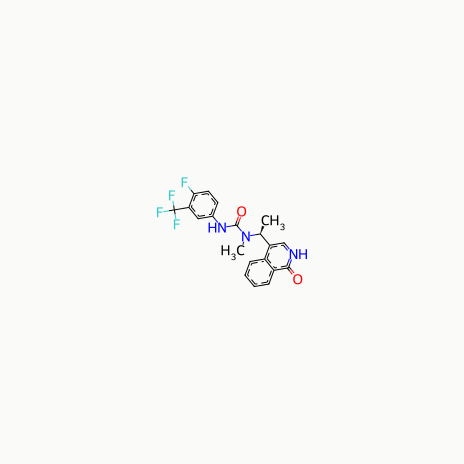 C[C@@H](c1c[nH]c(=O)c2ccccc12)N(C)C(=O)Nc1ccc(F)c(C(F)(F)F)c1